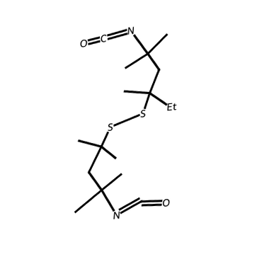 CCC(C)(CC(C)(C)N=C=O)SSC(C)(C)CC(C)(C)N=C=O